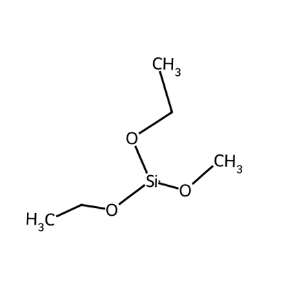 CCO[Si](OC)OCC